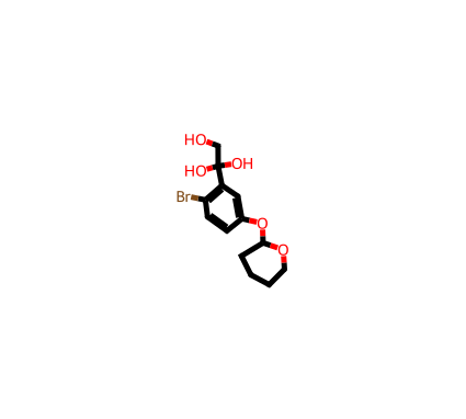 OCC(O)(O)c1cc(OC2CCCCO2)ccc1Br